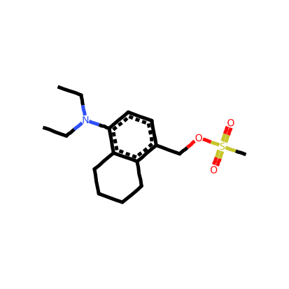 CCN(CC)c1ccc(COS(C)(=O)=O)c2c1CCCC2